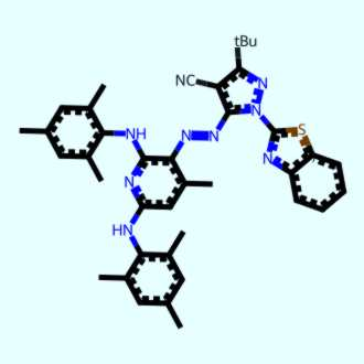 Cc1cc(C)c(Nc2cc(C)c(N=Nc3c(C#N)c(C(C)(C)C)nn3-c3nc4ccccc4s3)c(Nc3c(C)cc(C)cc3C)n2)c(C)c1